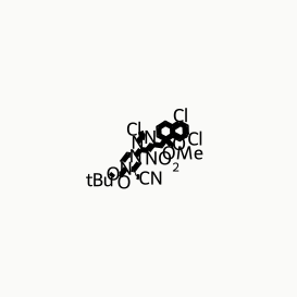 COC(=O)C1(Cc2nc(Cl)nc(N3CCN(C(=O)OC(C)(C)C)[C@@H](CC#N)C3)c2[N+](=O)[O-])CCCc2c(Cl)cc(Cl)cc21